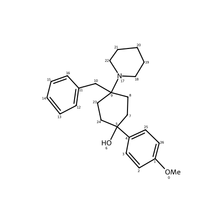 COc1ccc(C2(O)CCC(Cc3ccccc3)(N3CCCCC3)CC2)cc1